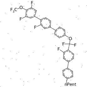 CCCCCc1ccc(-c2ccc(C(F)(F)Oc3ccc(-c4ccc(-c5cc(F)c(OC(F)(F)F)c(F)c5)c(F)c4)cc3)c(F)c2)cc1